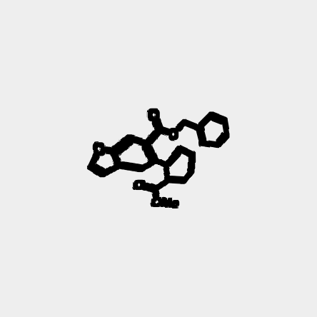 COC(=O)c1ccccc1-c1cc2ccoc2cc1C(=O)OCc1ccccc1